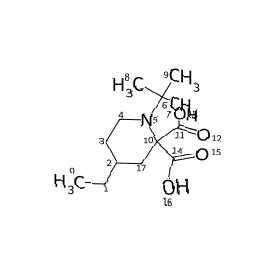 CCC1CCN(C(C)(C)C)C(C(=O)O)(C(=O)O)C1